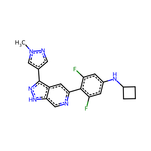 Cn1cc(-c2n[nH]c3cnc(-c4c(F)cc(NC5CCC5)cc4F)cc23)cn1